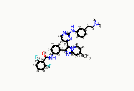 CN(C)CCc1cccc(Nc2nccc(-c3c(-c4cccc(NC(=O)c5c(F)cccc5F)c4)nc4cc(C(F)(F)F)ccn34)n2)c1